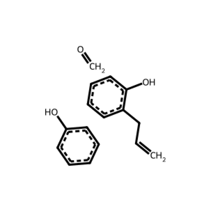 C=CCc1ccccc1O.C=O.Oc1ccccc1